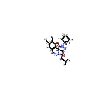 CC(C)=CC(=O)N1N=Cc2cc(C)c(C)cc2C12C(=O)N(c1ccccc1)N=C2C